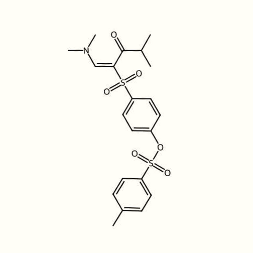 Cc1ccc(S(=O)(=O)Oc2ccc(S(=O)(=O)C(=CN(C)C)C(=O)C(C)C)cc2)cc1